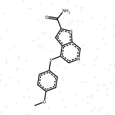 COc1ccc(Sc2cncc3sc(C(N)=O)cc23)cc1